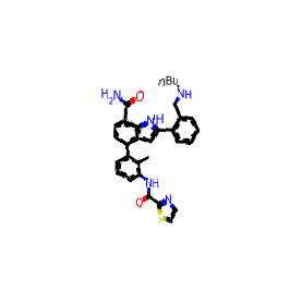 CCCCNCc1ccccc1-c1cc2c(-c3cccc(NC(=O)c4nccs4)c3C)ccc(C(N)=O)c2[nH]1